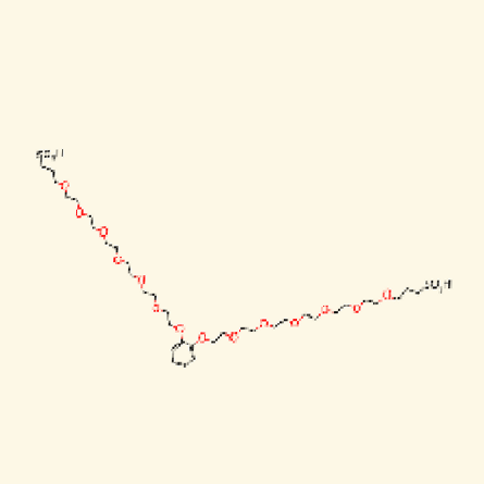 O=S(=O)(O)CCCOCCOCCOCCOCCOCCOCCOc1ccccc1OCCOCCOCCOCCOCCOCCOCCCS(=O)(=O)O